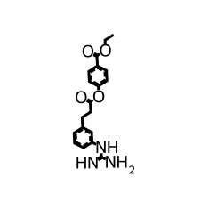 CCOC(=O)c1ccc(OC(=O)CCc2cccc(NC(=N)N)c2)cc1